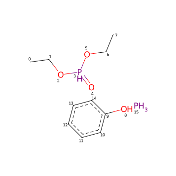 CCO[PH](=O)OCC.Oc1ccccc1.P